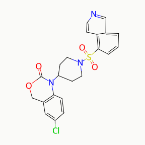 O=C1OCc2cc(Cl)ccc2N1C1CCN(S(=O)(=O)c2cccc3cnccc23)CC1